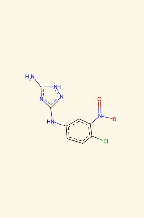 Nc1nc(Nc2ccc(Cl)c([N+](=O)[O-])c2)n[nH]1